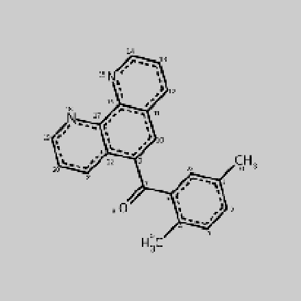 Cc1ccc(C)c(C(=O)c2cc3cccnc3c3ncccc23)c1